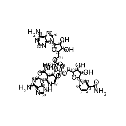 NC(=O)c1ccc[n+](C2OC(COP(=O)([O-])OP(=O)(O)OCC3OC(n4cnc5c(N)ncnc54)C(O)C3O)C(O)C2O)c1.NC(=O)c1cccnc1.Nc1ncnc2[nH]cnc12